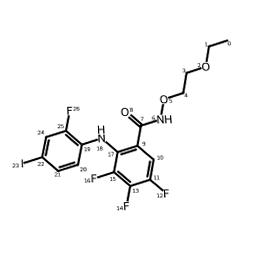 CCOCCONC(=O)c1cc(F)c(F)c(F)c1Nc1ccc(I)cc1F